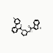 Cc1cccc(-c2ccccc2C(=O)N2CCCC(NC(=O)c3c[nH]c4ccccc34)C2)c1